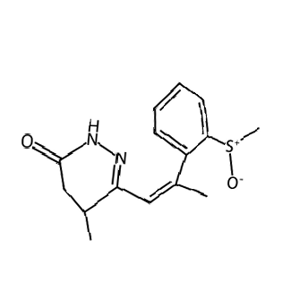 CC(=CC1=NNC(=O)CC1C)c1ccccc1[S+](C)[O-]